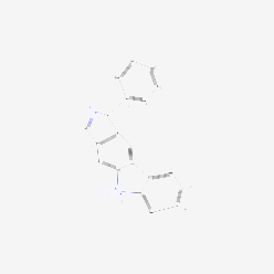 C1=NC(c2ccccc2)c2cc3c(cc21)[nH]c1ccccc13